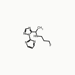 CC(NCCCF)c1ncnn1-c1ncccn1